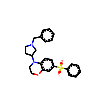 O=S(=O)(c1ccccc1)c1ccc2c(c1)OCCN2C1CCN(Cc2ccccc2)C1